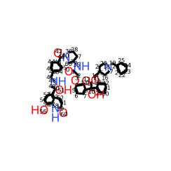 O=C(COc1cccc([C@](O)(C(=O)OCC2CCN(Cc3ccccc3)CC2)c2ccccc2)c1)N[C@@H]1CCCN(C(=O)c2ccc(CNC[C@H](O)c3ccc(O)c4[nH]c(=O)ccc34)cc2)C1